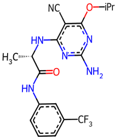 CC(C)Oc1nc(N)nc(N[C@@H](C)C(=O)Nc2cccc(C(F)(F)F)c2)c1C#N